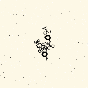 CN(C)C(=O)Oc1ccc(C[C@H](NC(=O)C2CS(=O)(=O)CCN2S(=O)(=O)c2ccc(F)cc2F)C(=O)O)cc1